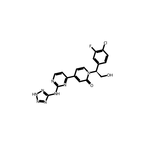 O=c1cc(-c2ccnc(Nc3nn[nH]n3)n2)ccn1[C@H](CO)c1ccc(Cl)c(F)c1